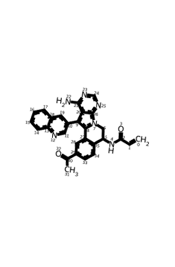 C=CC(=O)NC1Cn2c(c(-c3cnc4ccccc4c3)c3c(N)ncnc32)-c2cc(C(C)=O)ccc21